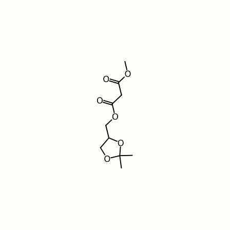 COC(=O)CC(=O)OCC1COC(C)(C)O1